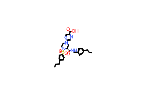 CCCc1ccc(CNC(=O)[C@H]2CN(c3cnc(C(=O)O)cn3)CCN2S(=O)(=O)c2ccc(CCC)cc2)cc1